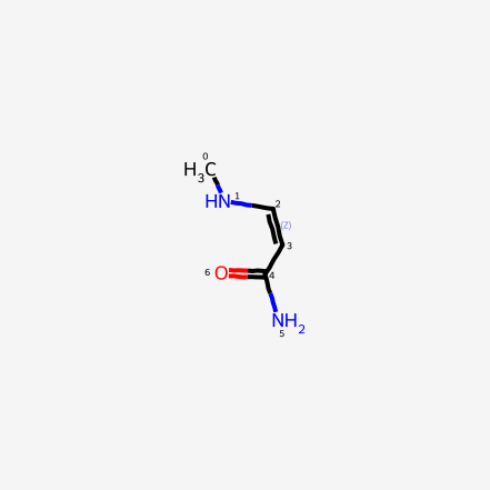 CN/C=C\C(N)=O